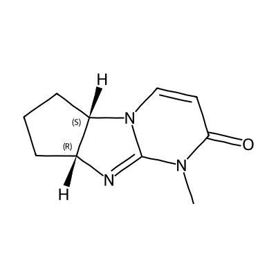 CN1C(=O)C=CN2C1=N[C@@H]1CCC[C@@H]12